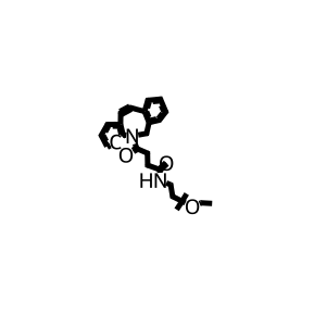 CCOC(C)(C)CCNC(=O)CCC(=O)N1Cc2ccccc2C#Cc2ccccc21